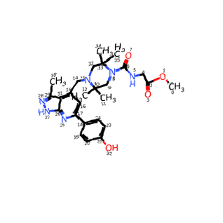 COC(=O)CNC(=O)N1CC(C)(C)N(Cc2cc(-c3ccc(O)cc3)nc3[nH]nc(C)c23)CC1(C)C